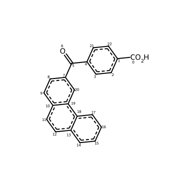 O=C(O)c1ccc(C(=O)c2ccc3ccc4ccccc4c3c2)cc1